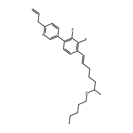 C=CCc1ccc(-c2ccc(/C=C/CCCC(C)OCCCCC)c(F)c2F)cn1